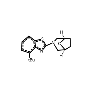 CC(C)(C)c1cccc2sc(N3C[C@H]4CC[C@@H](C3)O4)nc12